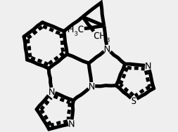 CC12CC1(C)N1c3ncsc3N3c4nccn4-c4cccc2c4C31